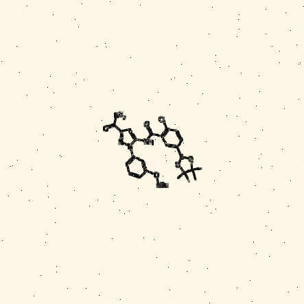 CCCCOc1cccc(-n2nc(C(N)=O)cc2NC(=O)c2cc(B3OC(C)(C)C(C)(C)O3)ccc2Cl)c1